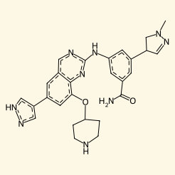 CN1CC(c2cc(Nc3ncc4cc(-c5cn[nH]c5)cc(OC5CCNCC5)c4n3)cc(C(N)=O)c2)C=N1